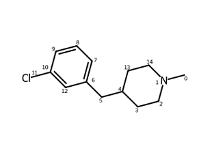 CN1CCC(Cc2cccc(Cl)c2)CC1